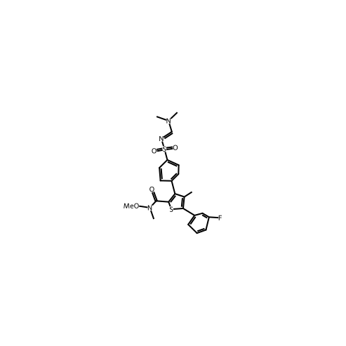 CON(C)C(=O)c1sc(-c2cccc(F)c2)c(C)c1-c1ccc(S(=O)(=O)N=CN(C)C)cc1